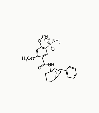 COc1cc(OC)c(S(N)(=O)=O)cc1C(=O)NC12CCCC(CC1)N2Cc1ccccc1